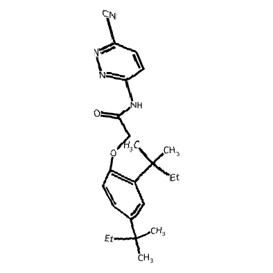 CCC(C)(C)c1ccc(OCC(=O)Nc2ccc(C#N)nn2)c(C(C)(C)CC)c1